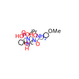 COc1ccc(C[C@H](N)C(=O)N(C)C(=O)[C@H](CC(C)C)NC(c2ccccc2O)P(=O)(O)O)cc1